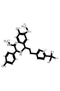 CNC(=O)C(NC(CCc1ccc(C(F)(F)F)nc1)c1ccc(Cl)c(OC)c1)c1ccc(Cl)cc1